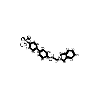 O=S(=O)(Cl)c1ccc(-c2ccc(OCCN3Cc4ccccc4C3)cc2)cc1